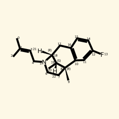 CC(C)=CCN1CC[C@@]2(C)c3cc(F)ccc3C[C@@H]1[C@H]2C